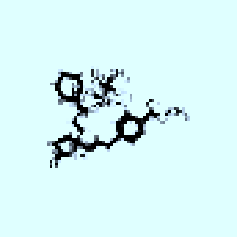 COC(=O)c1ccc(CC=C[C@@]2(CC[C@H](O[Si](C)(C)C(C)(C)C)C3CCCCC3)CCC(=O)N2)cc1